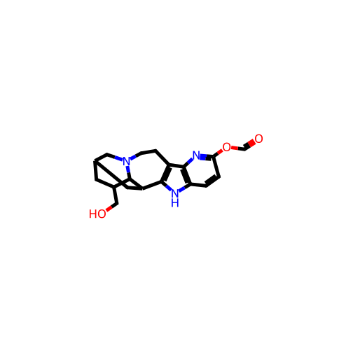 O=COc1ccc2[nH]c3c(c2n1)CCN1CC2CC(CO)C1C3C2